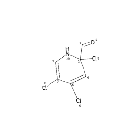 O=CC1(Cl)C=C(Cl)C(Cl)=CN1